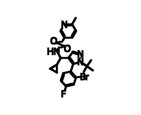 Cc1ccc(S(=O)(=O)NC(c2cnn(C(C)(C)C)c2-c2ccc(F)cc2Br)C2CC2)cn1